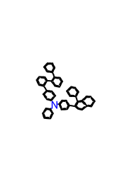 c1ccc(-c2ccccc2-c2ccccc2-c2ccc(N(c3ccccc3)c3ccc(-c4ccc5ccccc5c4-c4ccccc4)cc3)cc2)cc1